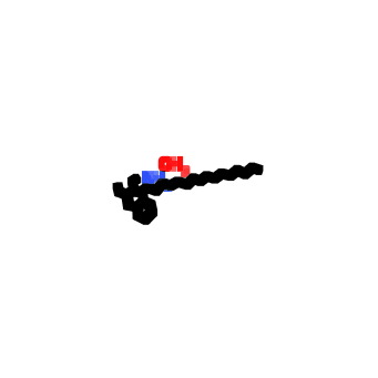 CCCCCCCCCCCCCCCC(N)c1c(CC)c(CC)cc2ccccc12.O